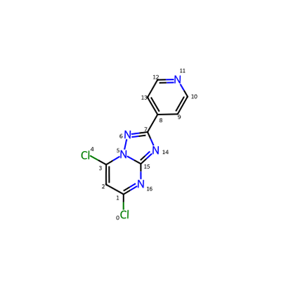 Clc1cc(Cl)n2nc(-c3ccncc3)nc2n1